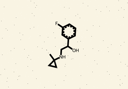 CC1(NCC(O)c2cccc(F)c2)CC1